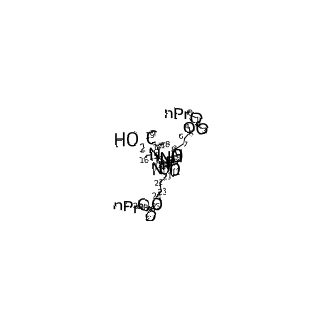 CCCOC(=O)OCCCCOP(=O)(NC(=N)N(C)C(C)C(=O)O)OCCCCOC(=O)OCCC